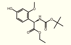 CCOC(=O)[C@H](NC(=O)OC(C)(C)C)c1ccc(O)cc1OC